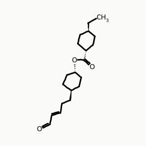 CC[C@H]1CC[C@H](C(=O)O[C@H]2CC[C@H](CCC=CC=O)CC2)CC1